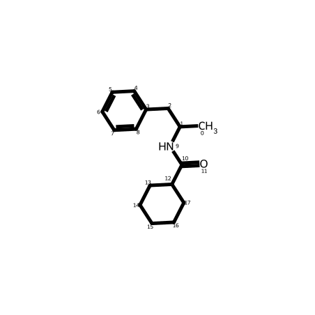 CC(Cc1ccccc1)NC(=O)C1CCCCC1